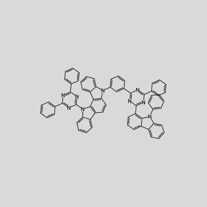 c1ccc(-c2nc(-c3cccc(-n4c5ccccc5c5c4ccc4c6ccccc6n(-c6nc(-c7ccccc7)nc(-c7ccccc7)n6)c45)c3)nc(-c3cccc4c5ccccc5n(-c5ccccc5)c34)n2)cc1